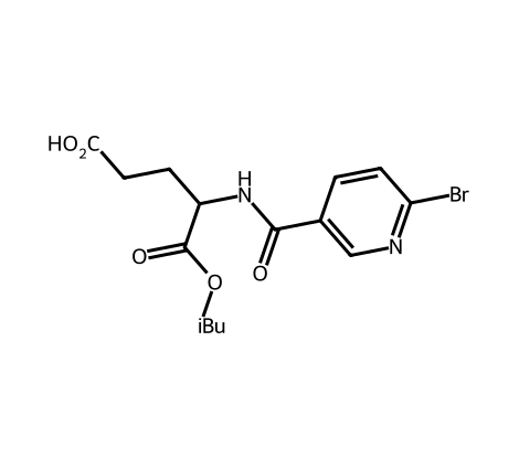 CCC(C)OC(=O)C(CCC(=O)O)NC(=O)c1ccc(Br)nc1